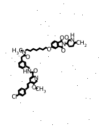 C=C1CCC(N2C(=O)c3ccc(OCCCCCCCN(C)C(=O)Cc4cccc(CNC(=O)c5cc(/C=C/c6ccc(Cl)cc6)c(OC)cn5)c4)cc3C2=O)C(=O)N1